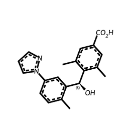 Cc1ccc(-n2cccn2)cc1[C@H](O)c1c(C)cc(C(=O)O)cc1C